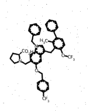 Cc1c(-c2ccccc2)ccc(OC(F)(F)F)c1Cc1cn(Cc2ccccc2)c2cc(CN3CCC[C@H]3C(=O)O)c(OCc3ccc(C(F)(F)F)cc3)cc12